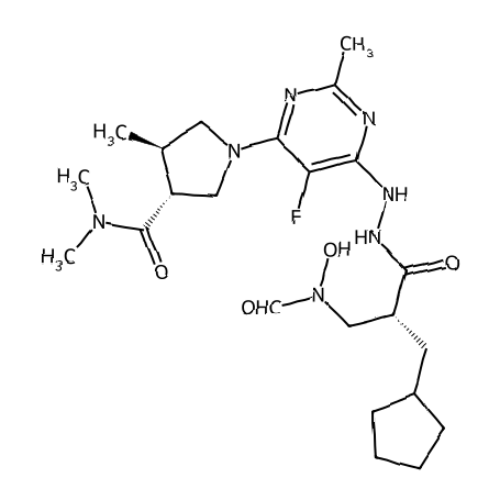 Cc1nc(NNC(=O)[C@H](CC2CCCC2)CN(O)C=O)c(F)c(N2C[C@H](C(=O)N(C)C)[C@@H](C)C2)n1